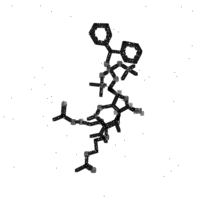 B[C@@H]1O[C@H](CO[Si](OC(c2ccccc2)c2ccccc2)(O[Si](C)(C)C)O[Si](C)(C)C)C(OP(C)N(C(C)C)C(C)C)[C@@H]1OC(OCCOC(C)=O)OCCOC(C)=O